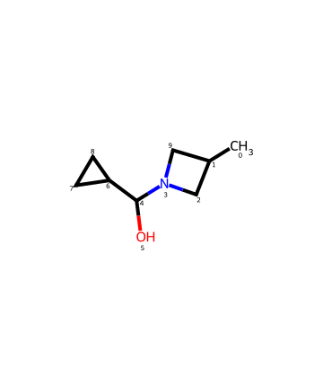 CC1CN(C(O)C2CC2)C1